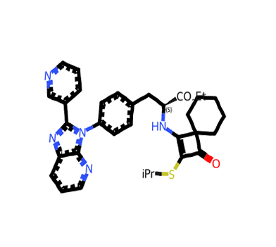 CCOC(=O)[C@H](Cc1ccc(-n2c(-c3cccnc3)nc3cccnc32)cc1)NC1=C(SC(C)C)C(=O)C12CCCCC2